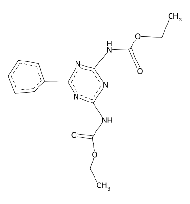 CCOC(=O)Nc1nc(NC(=O)OCC)nc(-c2ccccc2)n1